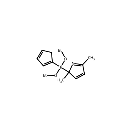 CC[O][Ti]([O]CC)([C]1=CC=CC1)[C]1(C)C=CC(C)=N1